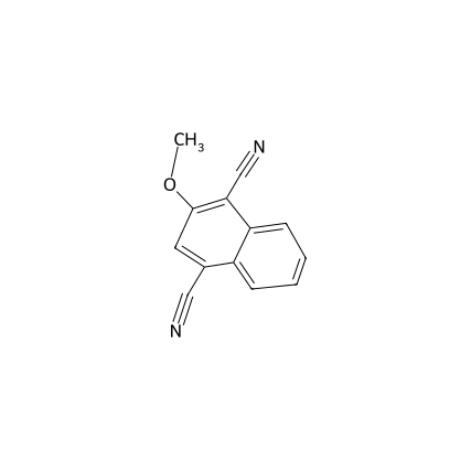 COc1cc(C#N)c2ccccc2c1C#N